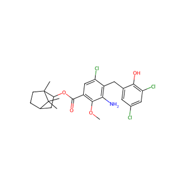 COc1c(C(=O)OC2CC3CCC2(C)C3(C)C)cc(Cl)c(Cc2cc(Cl)cc(Cl)c2O)c1N